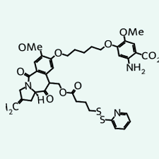 C=C1C[C@H]2C(=O)C(COC(=O)CCCSSc3ccccn3)c3cc(OCCCCCOc4cc(N)c(C(=O)O)cc4OC)c(OC)cc3C(=O)N2C1